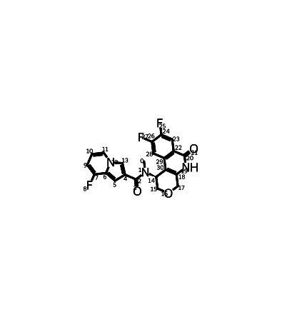 CN(C(=O)c1cc2c(F)cccn2c1)[C@@H]1COCc2[nH]c(=O)c3cc(F)c(F)cc3c21